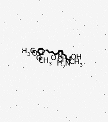 COc1ccc(CCCC(=O)c2ccc(CCC(C)(N)CO)n2C)cc1OC